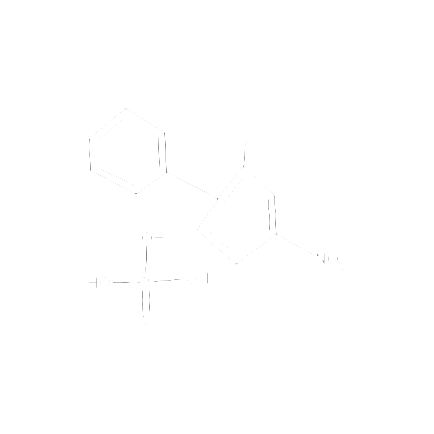 CCc1cc([N+](=O)[O-])ccc1-c1ccccc1.OP(O)(O)=S